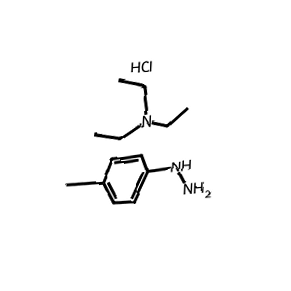 CCN(CC)CC.Cc1ccc(NN)cc1.Cl